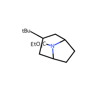 CCOC(=O)N1C2CCC1CC(C(C)(C)C)C2